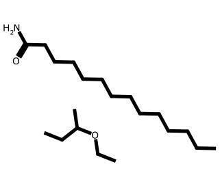 CCCCCCCCCCCCCC(N)=O.CCOC(C)CC